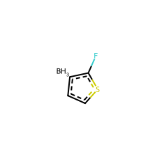 B.Fc1cccs1